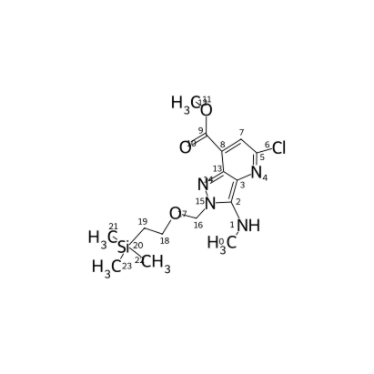 CNc1c2nc(Cl)cc(C(=O)OC)c2nn1COCC[Si](C)(C)C